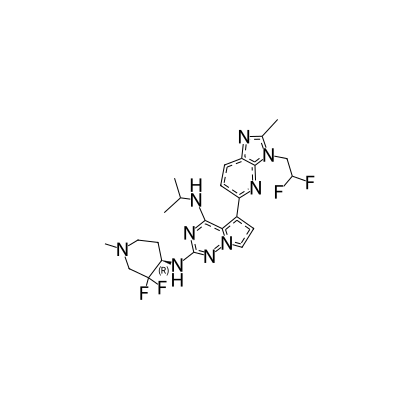 Cc1nc2ccc(-c3ccn4nc(N[C@@H]5CCN(C)CC5(F)F)nc(NC(C)C)c34)nc2n1CC(F)F